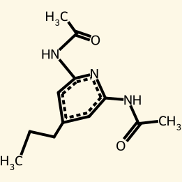 CCCc1cc(NC(C)=O)nc(NC(C)=O)c1